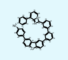 N#Cc1ccc(-c2ccc3oc4ccc(-c5cccc(-c6cccc(C7N=C8C(c9ccccc9)=CC=CN87)c6)c5)cc4c3c2)cc1